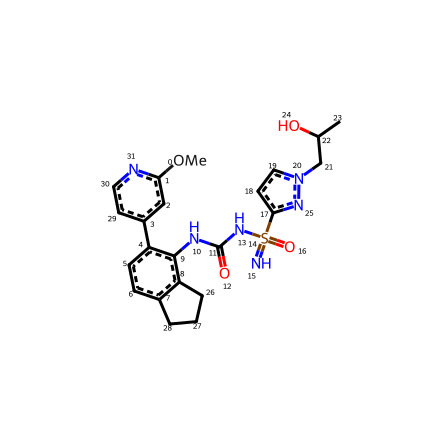 COc1cc(-c2ccc3c(c2NC(=O)NS(=N)(=O)c2ccn(CC(C)O)n2)CCC3)ccn1